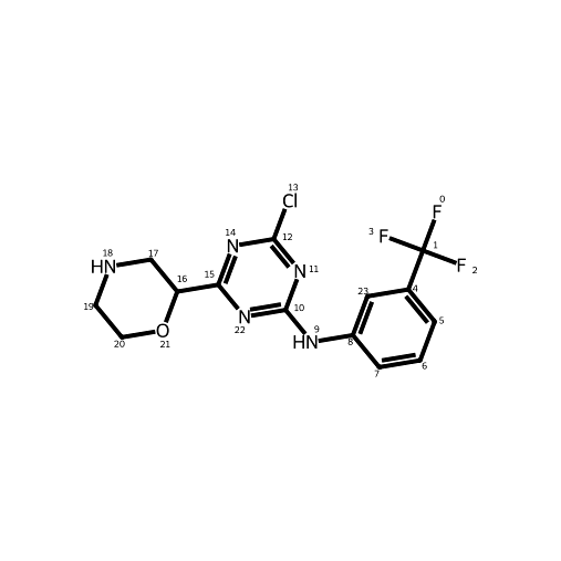 FC(F)(F)c1cccc(Nc2nc(Cl)nc(C3CNCCO3)n2)c1